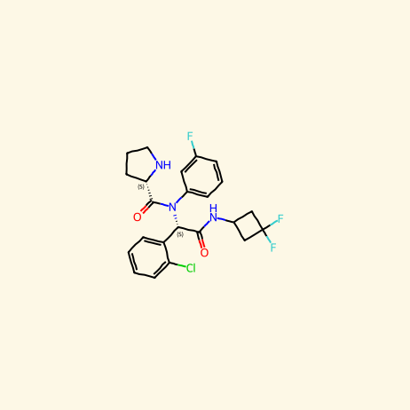 O=C(NC1CC(F)(F)C1)[C@H](c1ccccc1Cl)N(C(=O)[C@@H]1CCCN1)c1cccc(F)c1